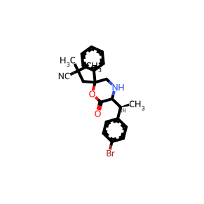 C[C@@H](c1ccc(Br)cc1)C1NCC(CC(C)(C)C#N)(c2ccccc2)OC1=O